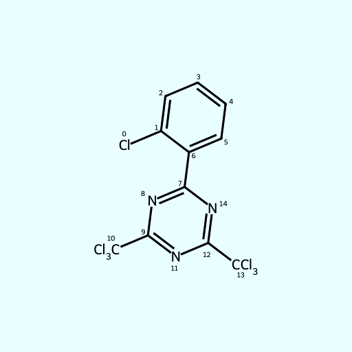 Clc1ccccc1-c1nc(C(Cl)(Cl)Cl)nc(C(Cl)(Cl)Cl)n1